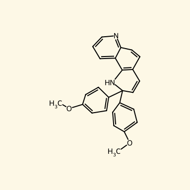 COc1ccc(C2(c3ccc(OC)cc3)C=Cc3ccc4ncccc4c3N2)cc1